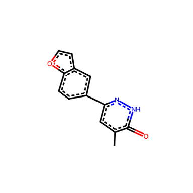 Cc1cc(-c2ccc3occc3c2)n[nH]c1=O